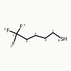 FC(F)(F)CCCCS